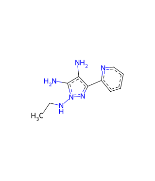 CCNn1nc(-c2ccccn2)c(N)c1N